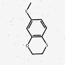 CSc1ccc2c(c1)OCCS2